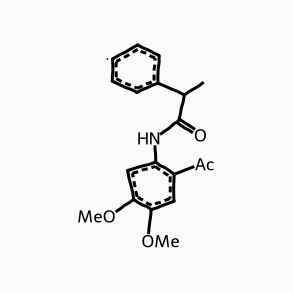 COc1cc(NC(=O)C(C)c2cc[c]cc2)c(C(C)=O)cc1OC